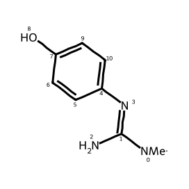 C[N]C(N)=Nc1ccc(O)cc1